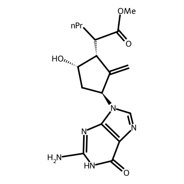 C=C1[C@@H](C(CCC)C(=O)OC)[C@@H](O)C[C@@H]1n1cnc2c(=O)[nH]c(N)nc21